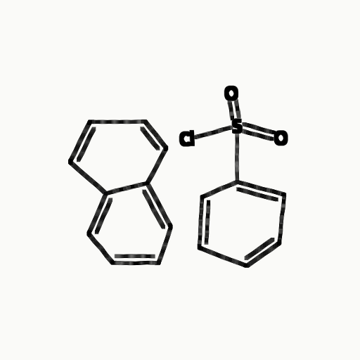 O=S(=O)(Cl)c1ccccc1.c1ccc2ccccc2c1